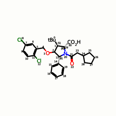 CC(C)(C)[C@@H]1C(OCc2cc(Cl)ccc2Cl)[C@@H](c2ccccc2)N(C(=O)CC2CCCC2)[C@H]1C(=O)O